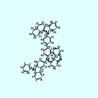 c1ccc(-n2c3ccccc3c3cc(N(c4ccc(-c5ccc(-n6c7ccccc7c7ccc8ccccc8c76)cc5)cc4)c4cccc5sc6ccccc6c45)ccc32)cc1